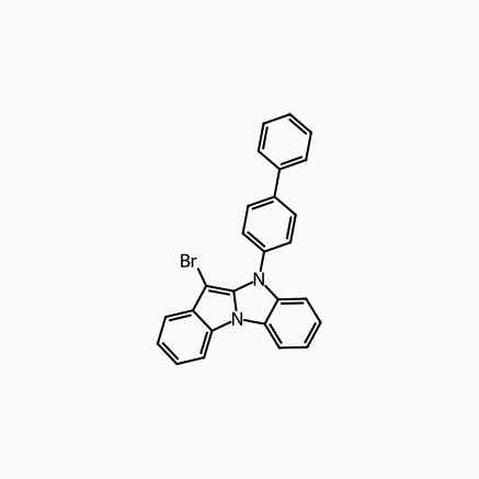 Brc1c2ccccc2n2c3ccccc3n(-c3ccc(-c4ccccc4)cc3)c12